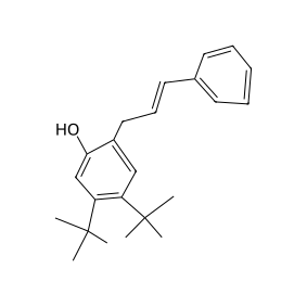 CC(C)(C)c1cc(O)c(CC=Cc2ccccc2)cc1C(C)(C)C